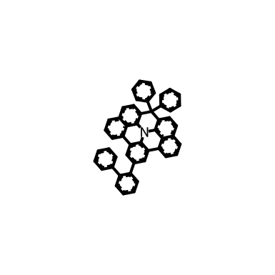 c1ccc(-c2ccccc2-c2cc3c4c(c2)-c2cccc5ccc6c(c25)N4c2c(ccc4cccc-3c24)C6(c2ccccc2)c2ccccc2)cc1